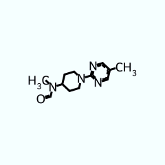 Cc1cnc(N2CCC(N(C)C=O)CC2)nc1